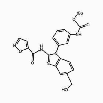 CC(C)(C)OC(=O)Nc1cccc(-n2c(NC(=O)c3ccno3)nc3cc(CO)ccc32)c1